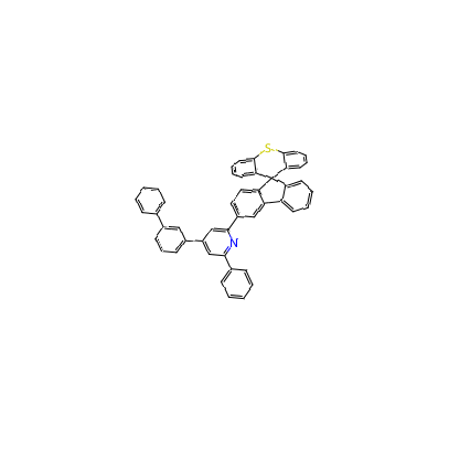 c1ccc(-c2cccc(-c3cc(-c4ccccc4)nc(-c4ccc5c(c4)-c4ccccc4C54c5ccccc5Sc5ccccc54)c3)c2)cc1